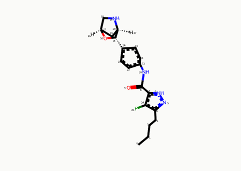 CCCCc1n[nH]c(C(=O)Nc2ccc([C@@H]3O[C@H]4CN[C@@H]3C4)cc2)c1F